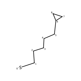 [S]CCCCCC1CC1